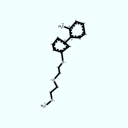 COCCOCCOc1cccc(-c2ccccc2C)c1